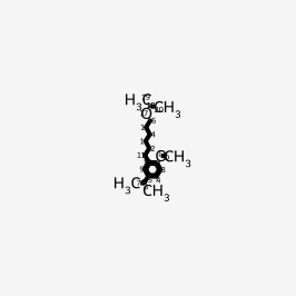 COc1ccc(C(C)C)cc1CCCCCCOC(C)C